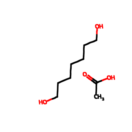 CC(=O)O.OCCCCCCCO